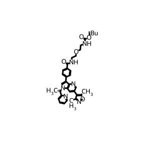 Cc1noc(C)c1-c1cnc2c(-c3ccc(C(=O)NCCOCCNC(=O)OC(C)(C)C)cc3)cn([C@@H](C)c3ccccn3)c2c1